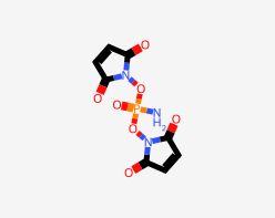 NP(=O)(ON1C(=O)C=CC1=O)ON1C(=O)C=CC1=O